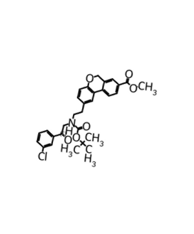 COC(=O)c1ccc2c(c1)COc1ccc(CCN(C[C@@H](O)c3cccc(Cl)c3)C(=O)OC(C)(C)C)cc1-2